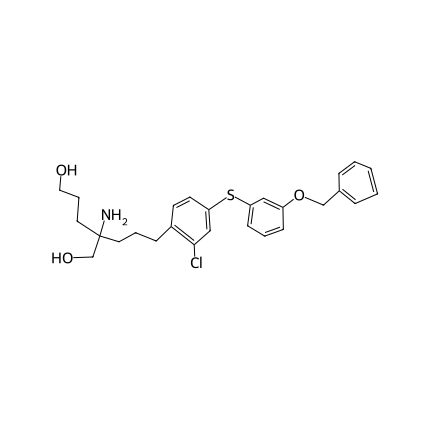 NC(CO)(CCCO)CCCc1ccc(Sc2cccc(OCc3ccccc3)c2)cc1Cl